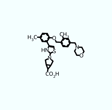 Cc1ccc(OCc2ccc(CN3CCOCC3)cc2C)c(C2=CSC(N3CC4C(C3)C4C(=O)O)N2)c1